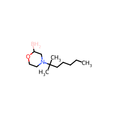 BC1CN(C(C)(C)CCCCC)CCO1